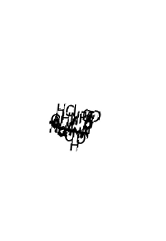 Cc1nc(-c2ccc(C)c(N(CCNC(C)C)C(=O)CNCC(=O)N(C)C3CCN(S(C)(=O)=O)CC3)c2)no1.Cl